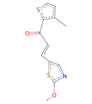 COc1ncc(C=CC(=O)c2sccc2C)s1